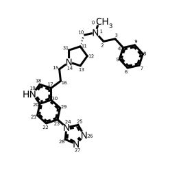 CN(CCc1ccccc1)C[C@@H]1CCN(CCc2c[nH]c3ccc(-n4cnnc4)cc23)C1